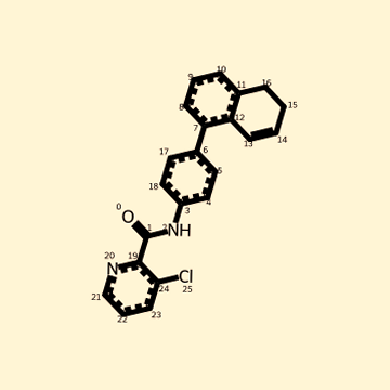 O=C(Nc1ccc(-c2cccc3c2C=CCC3)cc1)c1ncccc1Cl